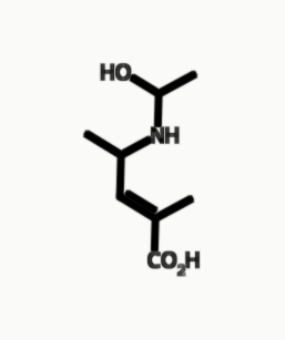 CC(=CC(C)NC(C)O)C(=O)O